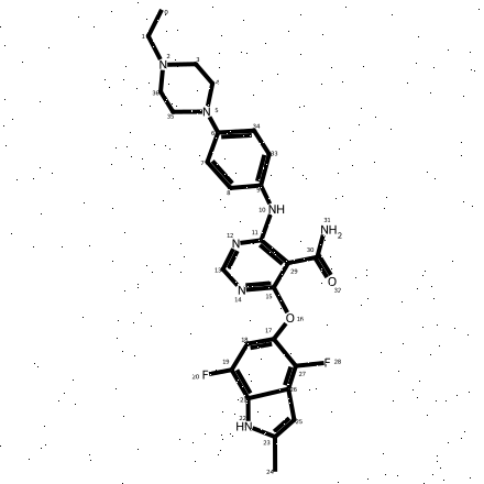 CCN1CCN(c2ccc(Nc3ncnc(Oc4cc(F)c5[nH]c(C)cc5c4F)c3C(N)=O)cc2)CC1